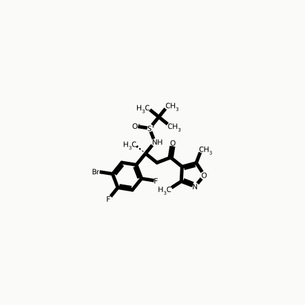 Cc1noc(C)c1C(=O)C[C@](C)(N[S+]([O-])C(C)(C)C)c1cc(Br)c(F)cc1F